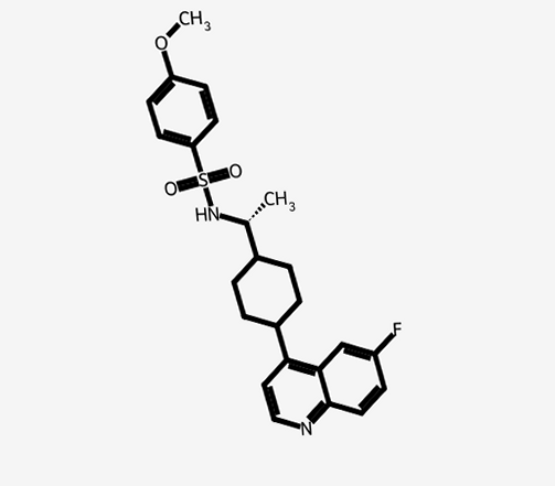 COc1ccc(S(=O)(=O)N[C@H](C)C2CCC(c3ccnc4ccc(F)cc34)CC2)cc1